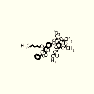 CCCCCCOc1c(OC(=O)c2ccccc2)c(=O)oc2cc(O[C@@H]3O[C@H](COC(C)=O)[C@H](OC(C)=O)[C@H](OC(C)=O)[C@H]3OC(C)=O)ccc12